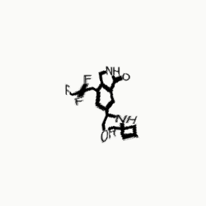 CC1(NC(CO)c2cc3c(c(C(F)(F)F)c2)CNC3=O)CCC1